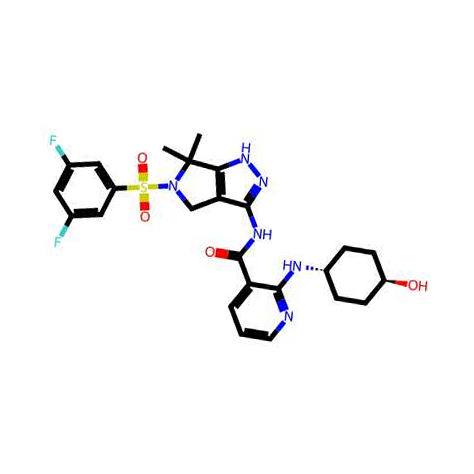 CC1(C)c2[nH]nc(NC(=O)c3cccnc3N[C@H]3CC[C@H](O)CC3)c2CN1S(=O)(=O)c1cc(F)cc(F)c1